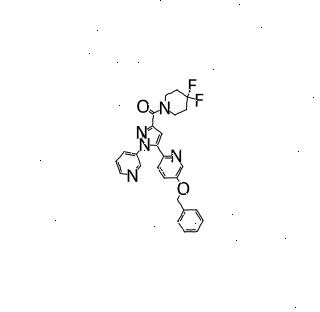 O=C(c1cc(-c2ccc(OCc3ccccc3)cn2)n(-c2cccnc2)n1)N1CCC(F)(F)CC1